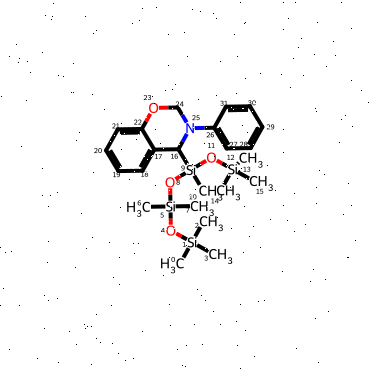 C[Si](C)(C)O[Si](C)(C)O[Si](C)(O[Si](C)(C)C)C1c2ccccc2OCN1c1ccccc1